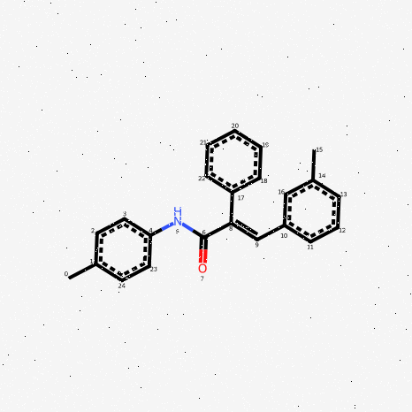 Cc1ccc(NC(=O)C(=Cc2cccc(C)c2)c2ccccc2)cc1